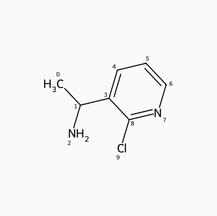 CC(N)c1cccnc1Cl